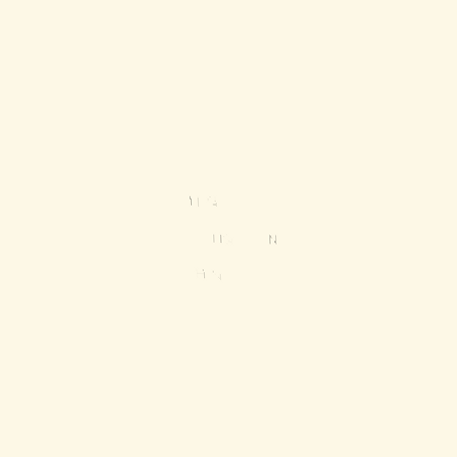 CN[SiH]([SiH3])[SiH3]